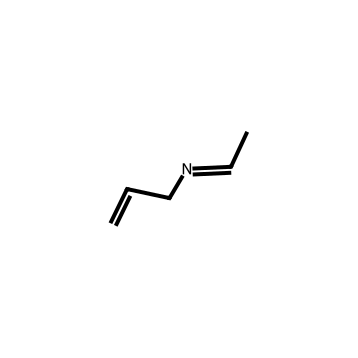 C=CCN=CC